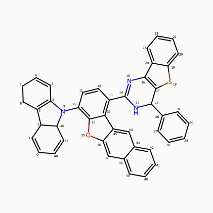 C1=CC2C3=C(C=CCC3)N(c3ccc(C4=Nc5c(sc6ccccc56)C(c5ccccc5)N4)c4c3oc3cc5ccccc5cc34)C2C=C1